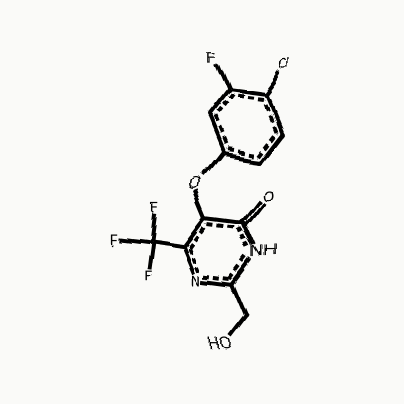 O=c1[nH]c(CO)nc(C(F)(F)F)c1Oc1ccc(Cl)c(F)c1